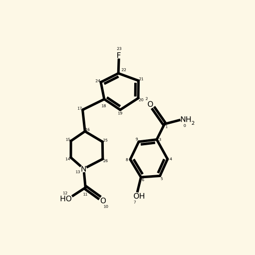 NC(=O)c1ccc(O)cc1.O=C(O)N1CCC(Cc2cccc(F)c2)CC1